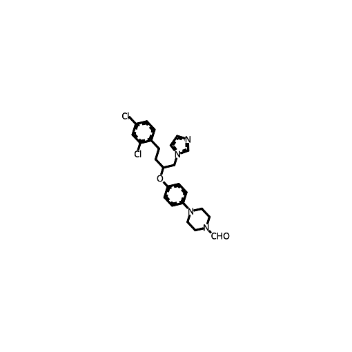 O=CN1CCN(c2ccc(OC(CCc3ccc(Cl)cc3Cl)Cn3ccnc3)cc2)CC1